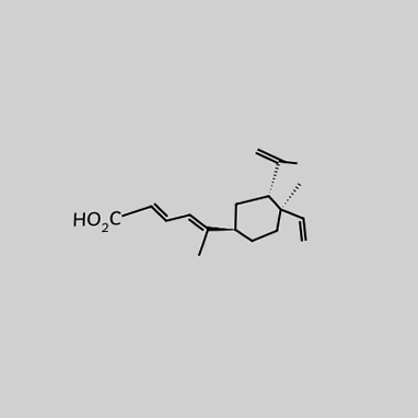 C=C[C@@]1(C)CC[C@@H](/C(C)=C/C=C/C(=O)O)C[C@@H]1C(=C)C